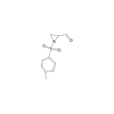 Cc1ccc(S(=O)(=O)N2CC2C=O)cc1